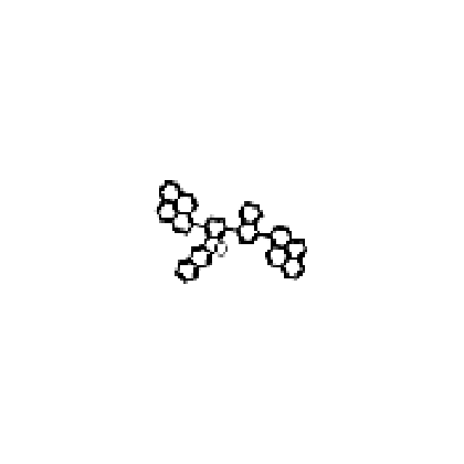 c1ccc2cc3c(cc2c1)oc1c(-c2ccc(-c4ccc5ccc6cccc7ccc4c5c67)c4ccccc24)ccc(-c2ccc4ccc5cccc6ccc2c4c56)c13